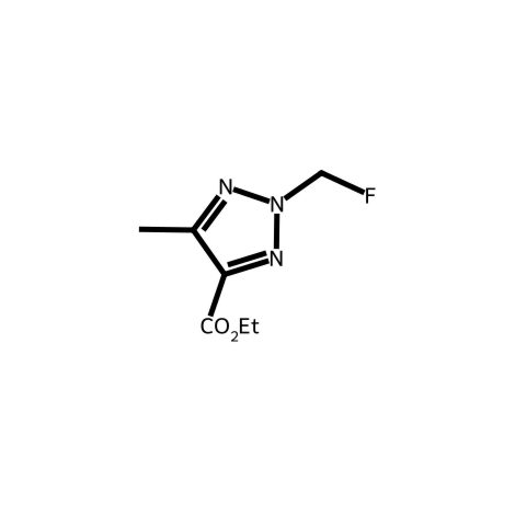 CCOC(=O)c1nn(CF)nc1C